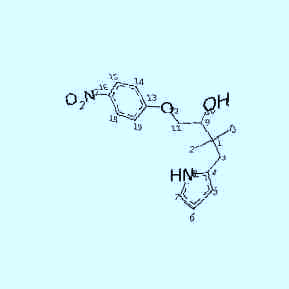 CC(C)(Cc1ccc[nH]1)C(O)COc1ccc([N+](=O)[O-])cc1